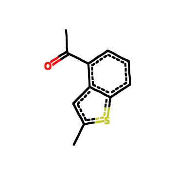 CC(=O)c1cccc2sc(C)cc12